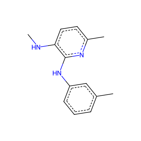 CNc1ccc(C)nc1Nc1cccc(C)c1